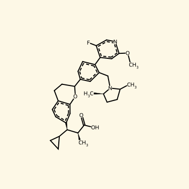 COc1cc(-c2ccc(C3CCc4ccc([C@H](C5CC5)[C@H](C)C(=O)O)cc4O3)cc2CN2C(C)CC[C@H]2C)c(F)cn1